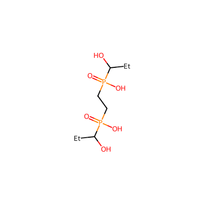 CCC(O)P(=O)(O)CCP(=O)(O)C(O)CC